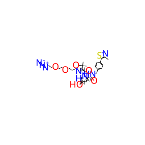 Cc1ncsc1-c1ccc(CNC(=O)[C@@H]2C[C@@H](O)CN2C(=O)[C@@H](NC(=O)CCOCCOCCN=[N+]=[N-])C(C)(C)C)cc1